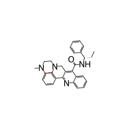 CC[C@H](NC(=O)c1c(CN2CCN(C)CC2)c(-c2ccccc2)nc2ccccc12)c1ccccc1